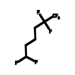 FC(F)CCCC(F)(F)C(F)(F)F